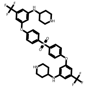 O=S(=O)(c1ccc(Oc2cc(NC3CCNCC3)cc(C(F)(F)F)c2)cc1)c1ccc(Oc2cc(NC3CCNCC3)cc(C(F)(F)F)c2)cc1